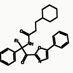 CCC(NC(=O)CCC1CCCCC1)(C(=O)c1ncc(-c2ccccc2)o1)c1ccccc1